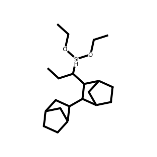 CCO[SiH](OCC)C(CC)C1C2CCC(C2)C1C1CC2CCC1C2